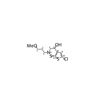 COCCCN1C[C@@H](O)c2cc(Cl)sc2S1